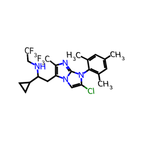 Cc1cc(C)c(-n2c(Cl)cn3c(CC(NCC(F)(F)F)C4CC4)c(C(F)(F)F)nc23)c(C)c1